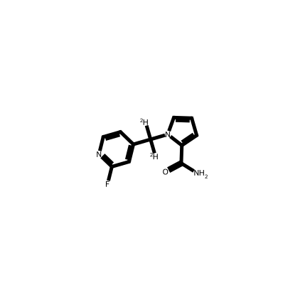 [2H]C([2H])(c1ccnc(F)c1)n1cccc1C(N)=O